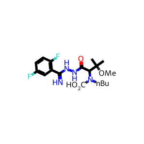 CCCCN(C(=O)O)C(C(=O)NNC(=N)c1cc(F)ccc1F)C(C)(C)OC